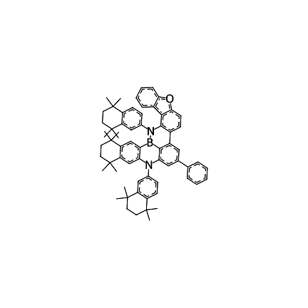 CC1(C)CCC(C)(C)c2cc(N3B4c5cc6c(cc5N(c5ccc7c(c5)C(C)(C)CCC7(C)C)c5cc(-c7ccccc7)cc(c54)-c4ccc5oc7ccccc7c5c43)C(C)(C)CCC6(C)C)ccc21